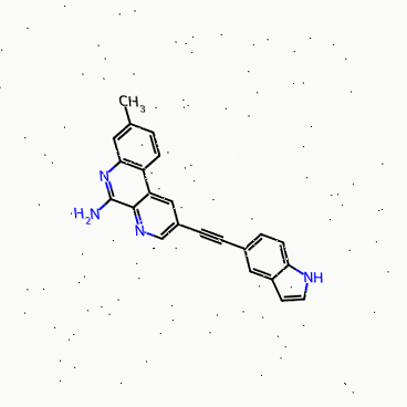 Cc1ccc2c(c1)nc(N)c1ncc(C#Cc3ccc4[nH]ccc4c3)cc12